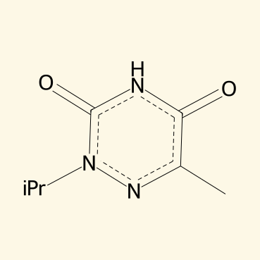 Cc1nn(C(C)C)c(=O)[nH]c1=O